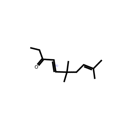 CCC(=O)/C=C/C(C)(C)CC=C(C)C